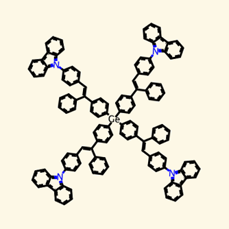 C(=C(c1ccccc1)c1cc[c]([Ge]([c]2ccc(C(=Cc3ccc(-n4c5ccccc5c5ccccc54)cc3)c3ccccc3)cc2)([c]2ccc(C(=Cc3ccc(-n4c5ccccc5c5ccccc54)cc3)c3ccccc3)cc2)[c]2ccc(C(=Cc3ccc(-n4c5ccccc5c5ccccc54)cc3)c3ccccc3)cc2)cc1)c1ccc(-n2c3ccccc3c3ccccc32)cc1